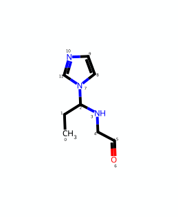 CCC(NC[C]=O)n1ccnc1